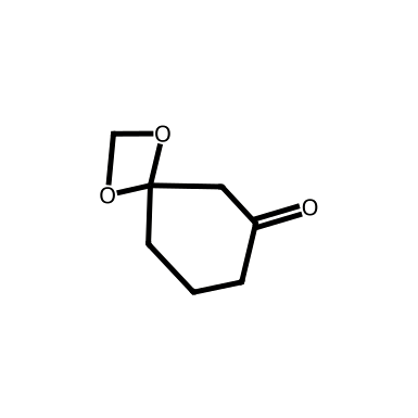 O=C1CCCC2(C1)OCO2